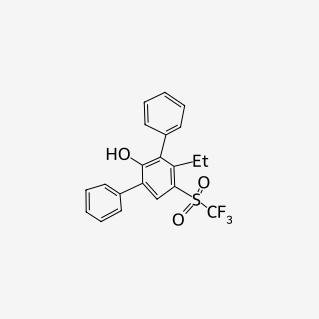 CCc1c(S(=O)(=O)C(F)(F)F)cc(-c2ccccc2)c(O)c1-c1ccccc1